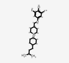 CC(C)CCC1CCC([SiH]2CCC(COc3cc(F)c(Cl)c(F)c3)CC2)CC1